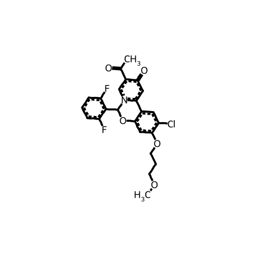 COCCCOc1cc2c(cc1Cl)-c1cc(=O)c(C(C)=O)cn1C(c1c(F)cccc1F)O2